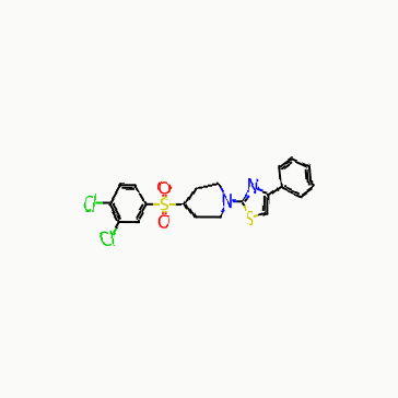 O=S(=O)(c1ccc(Cl)c(Cl)c1)C1CCN(c2nc(-c3ccccc3)cs2)CC1